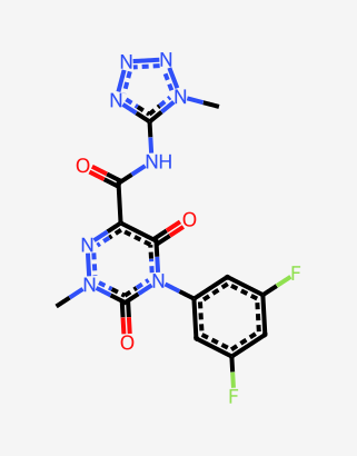 Cn1nnnc1NC(=O)c1nn(C)c(=O)n(-c2cc(F)cc(F)c2)c1=O